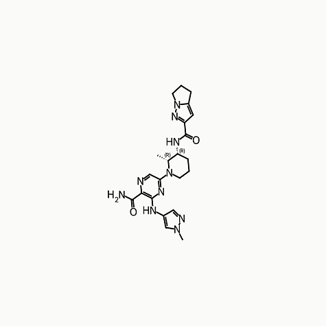 C[C@@H]1[C@H](NC(=O)c2cc3n(n2)CCC3)CCCN1c1cnc(C(N)=O)c(Nc2cnn(C)c2)n1